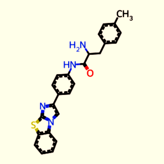 Cc1ccc(CC(N)C(=O)Nc2ccc(-c3cn4c(n3)sc3ccccc34)cc2)cc1